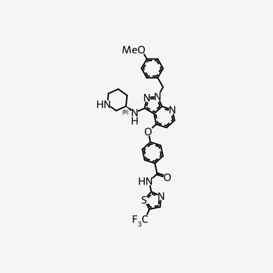 COc1ccc(Cn2nc(N[C@@H]3CCCNC3)c3c(Oc4ccc(C(=O)Nc5ncc(C(F)(F)F)s5)cc4)ccnc32)cc1